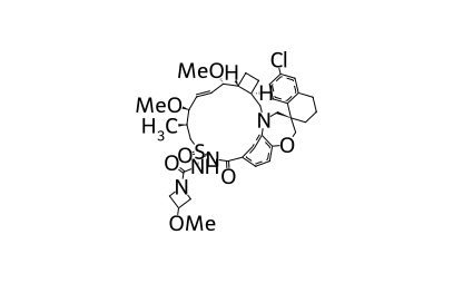 COC1CN(C(=O)N[S@@]2(=O)=NC(=O)c3ccc4c(c3)N(C[C@@H]3CC[C@H]3[C@@H](OC)/C=C/[C@H](OC)[C@H](C)C2)C[C@@]2(CCCc3cc(Cl)ccc32)CO4)C1